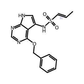 C/C=C/S(=O)(=O)Nc1c[nH]c2ncnc(OCc3ccccc3)c12